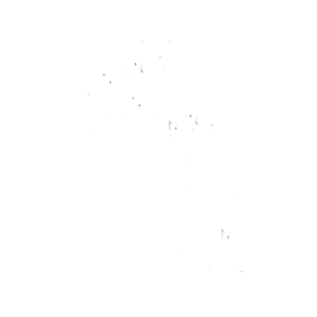 Cc1c2c(nn1Cc1ccc(-c3cccc(F)n3)cc1)N1CC(C)(C)N=C1N(C)C2=O